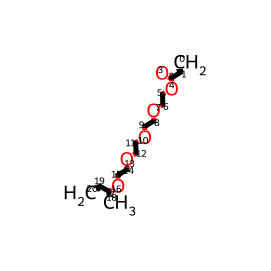 C=CC(=O)OCCOCCOCCOCCOC(C)C=C